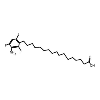 Nc1c(I)cc(I)c(CCCCCCCCCCCCCCCCC(=O)O)c1I